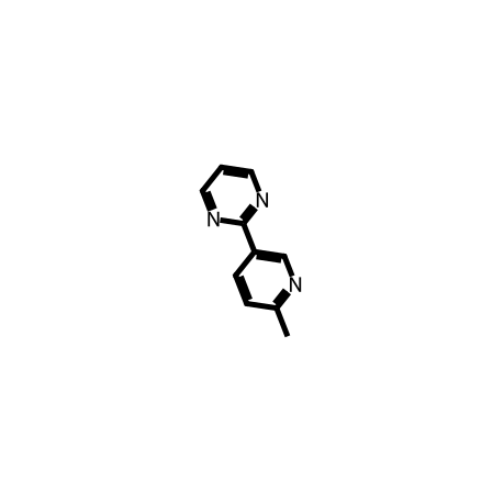 Cc1ccc(-c2ncccn2)cn1